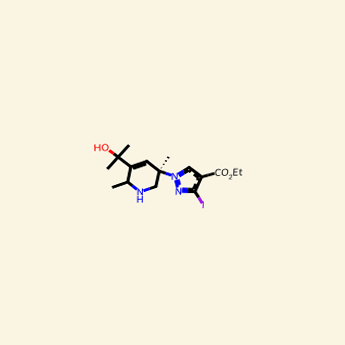 CCOC(=O)c1cn([C@]2(C)C=C(C(C)(C)O)C(C)NC2)nc1I